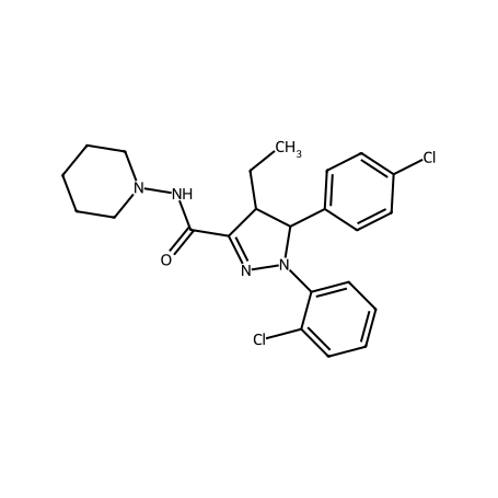 CCC1C(C(=O)NN2CCCCC2)=NN(c2ccccc2Cl)C1c1ccc(Cl)cc1